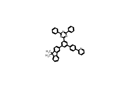 CC1(C)c2ccccc2-c2cc(-c3cc(-c4ccc(-c5ccccn5)cc4)cc(-c4nc(-c5ccccc5)nc(-c5ccccc5)n4)c3)ccc21